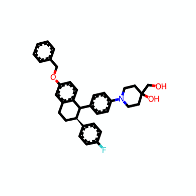 OCC1(O)CCN(c2ccc(C3c4ccc(OCc5ccccc5)cc4CC[C@@H]3c3ccc(F)cc3)cc2)CC1